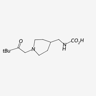 CC(C)(C)C(=O)CN1CCC(CNC(=O)O)CC1